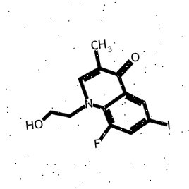 Cc1cn(CCO)c2c(F)cc(I)cc2c1=O